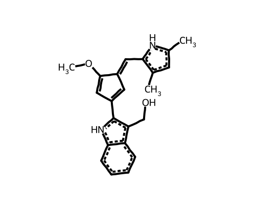 COC1=CC(c2[nH]c3ccccc3c2CO)=C/C1=C\c1[nH]c(C)cc1C